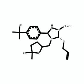 C=CCS[C@H]1N(CCCCCCC)NC(c2ccc(C(C)(C)C(C)C)cc2)N1CC1CCC(C)(CC)O1